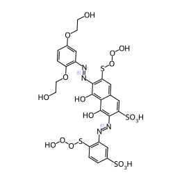 O=S(=O)(O)c1ccc(SOOO)c(/N=N/c2c(S(=O)(=O)O)cc3cc(SOOO)c(/N=N/c4cc(OCCO)ccc4OCCO)c(O)c3c2O)c1